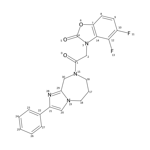 O=C(Cn1c(=O)oc2ccc(F)c(F)c21)N1CCCn2cc(-c3ccccc3)nc2C1